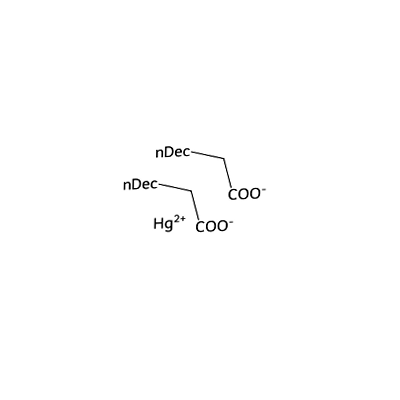 CCCCCCCCCCCC(=O)[O-].CCCCCCCCCCCC(=O)[O-].[Hg+2]